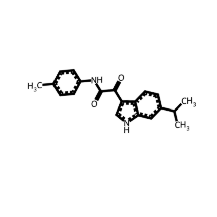 Cc1ccc(NC(=O)C(=O)c2c[nH]c3cc(C(C)C)ccc23)cc1